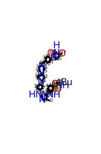 Cc1cnc(Nc2ccc(N3CCC(N4CCN(Cc5ccc(N6CCC(=O)NC6=O)cc5)CC4)CC3)cc2)nc1Nc1cccc(S(=O)(=O)NC(C)(C)C)c1